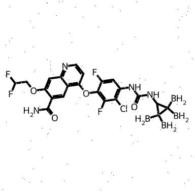 BC1(B)C(NC(=O)Nc2cc(F)c(Oc3ccnc4cc(OCC(F)F)c(C(N)=O)cc34)c(F)c2Cl)C1(B)B